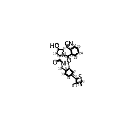 Cc1ncsc1-c1ccc(CNC(=O)[C@@H]2C[C@@H](O)CN2C(=O)c2ccccc2CC#N)cc1